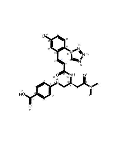 CN(C)C(=O)C[C@@H](CNc1ccc(C(=O)O)cc1)NC(=O)/C=C/c1cc(Cl)ccc1-n1cnnn1